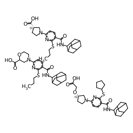 CCCSc1nc(N2CCOC(C(=O)O)C2)ccc1C(=O)NC1C2CC3CC(C2)CC1C3.CCCSc1nc(N2CC[C@H](C(=O)O)C2)ccc1C(=O)NC1C2CC3CC(C2)CC1C3.O=C(O)CO[C@H]1CCN(c2ccc(C(=O)NC3C4CC5CC(C4)CC3C5)c(SC3CCCC3)n2)C1